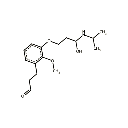 COc1c(CCC=O)cccc1OCCC(O)NC(C)C